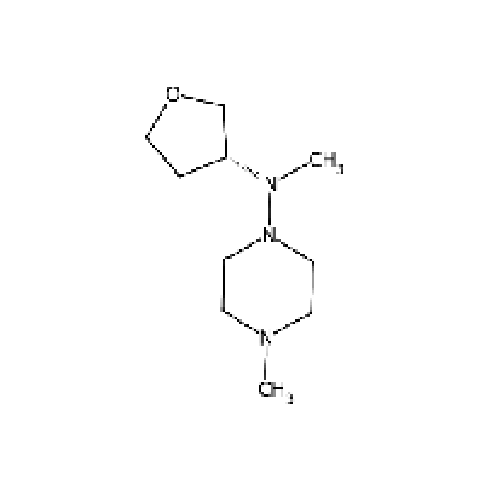 CN1CCN(N(C)[C@@H]2CCOC2)CC1